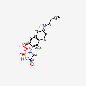 CC(C)CCNC1CCc2c(cc(O)c(N3CC(=O)NS3(=O)=O)c2F)C1